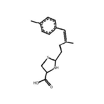 CC(=Cc1ccc(C)cc1)CCC1NC(C(=O)O)CS1